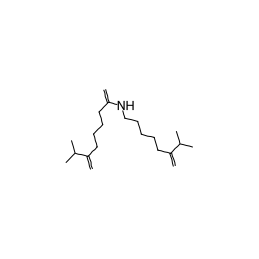 C=C(CCCCC(=C)C(C)C)NCCCCCC(=C)C(C)C